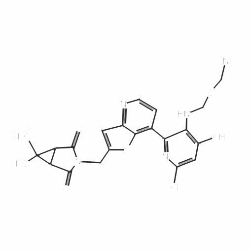 Cc1cc(Cl)nc(-c2ccnc3cc(CN4C(=O)C5C(C4=O)C5(C)C)sc23)c1NCCCN